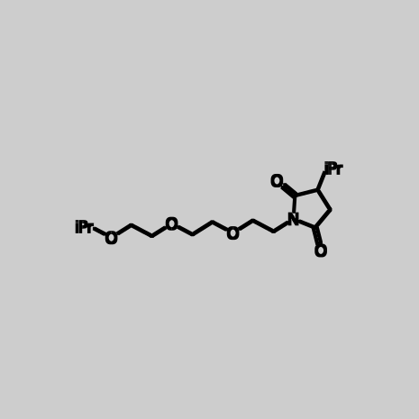 CC(C)OCCOCCOCCN1C(=O)CC(C(C)C)C1=O